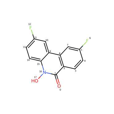 O=c1c2ccc(F)cc2c2cc(F)ccc2n1O